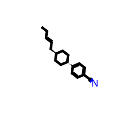 CC/C=C/C[C@H]1CC[C@H](c2ccc(C#N)cc2)CC1